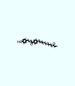 C=CC(=O)OCCOCCOCCOc1ccc(C(=O)OCCc2ccc(O)cc2)cc1